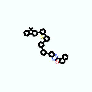 CC1(C)c2ccccc2-c2ccc(-c3cccc4c3sc3c(-c5cccc(-c6cccc(-c7ccc8nc9c(nc8c7)oc7ccc8ccccc8c79)c6)c5)cccc34)cc21